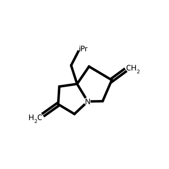 C=C1CN2CC(=C)CC2(CC(C)C)C1